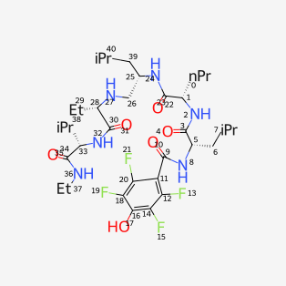 CCC[C@H](NC(=O)[C@H](CC(C)C)NC(=O)c1c(F)c(F)c(O)c(F)c1F)C(=O)N[C@H](CN[C@@H](CC)C(=O)N[C@H](C(=O)NCC)C(C)C)CC(C)C